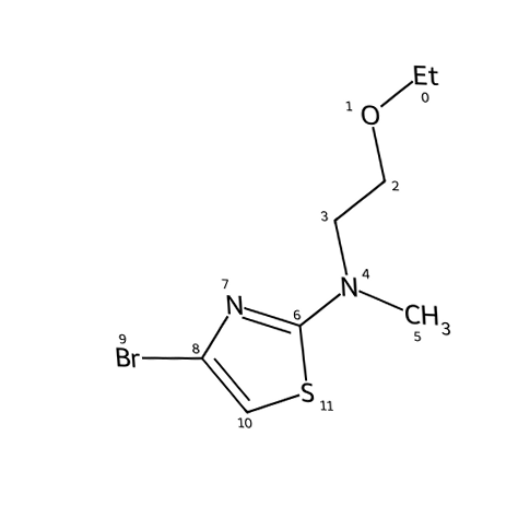 CCOCCN(C)c1nc(Br)cs1